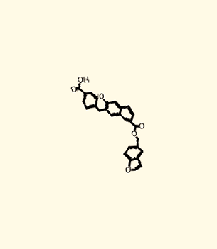 O=C(O)c1ccc(Cc2cc3cc(C(=O)OCc4ccc5occc5c4)ccc3cc2O)cc1